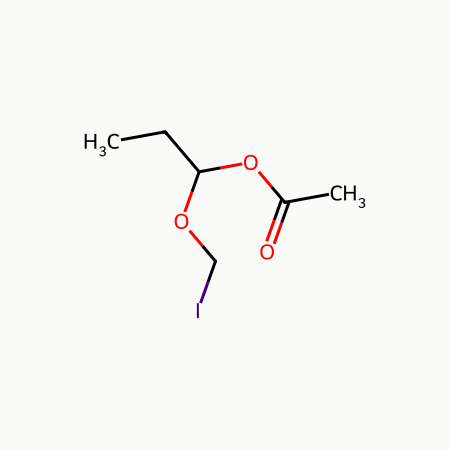 CCC(OCI)OC(C)=O